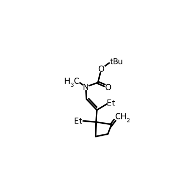 C=C1CCC1(CC)/C(=C/N(C)C(=O)OC(C)(C)C)CC